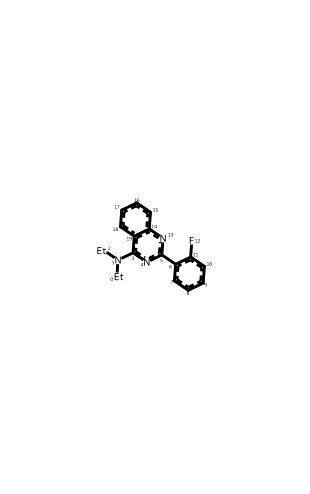 CCN(CC)c1nc(-c2ccccc2F)nc2ccccc12